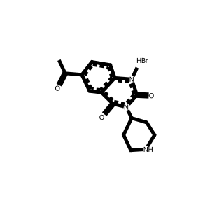 Br.CC(=O)c1ccc2c(c1)c(=O)n(C1CCNCC1)c(=O)n2C